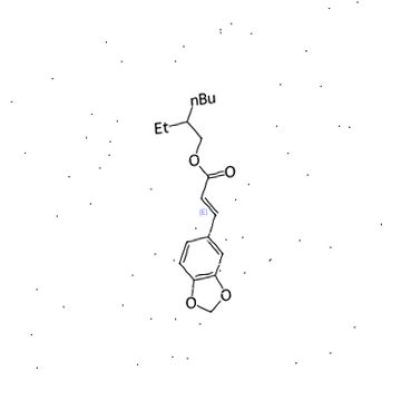 CCCCC(CC)COC(=O)/C=C/c1ccc2c(c1)OCO2